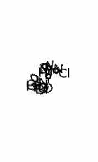 O=C(O)[C@H](Cc1ccc(-n2c(-c3ccc(Cl)nc3)nc3cccnc32)cc1)NC1=C(Br)C(=O)C12CCCCC2